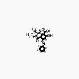 CCN(CC)N(CC)C(=O)c1cc(C(=O)O)c(O)cc1N=Nc1ccccc1